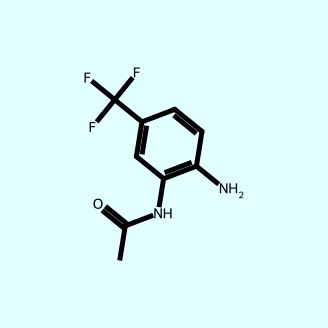 CC(=O)Nc1cc(C(F)(F)F)ccc1N